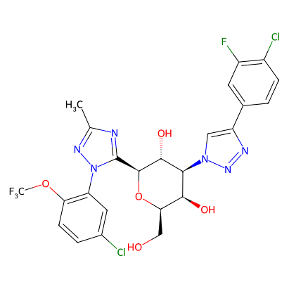 Cc1nc([C@@H]2O[C@H](CO)[C@H](O)[C@H](n3cc(-c4ccc(Cl)c(F)c4)nn3)[C@H]2O)n(-c2cc(Cl)ccc2OC(F)(F)F)n1